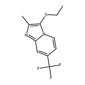 CCSc1c(C)nc2cc(C(F)(F)F)ccn12